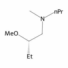 CCCN(C)C[C@H](CC)OC